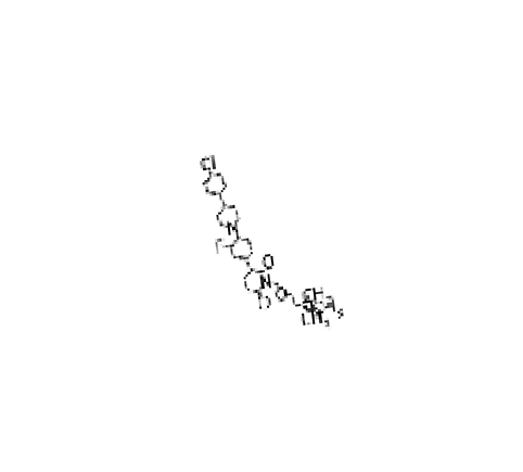 C[Si](C)(C)CCOCN1C(=O)CCC(c2ccc(N3CCC(c4ccc(Cl)cc4)CC3)c(F)c2)C1=O